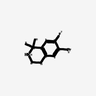 CC(C)c1cc2c(cc1F)C(C)(C)NCC2